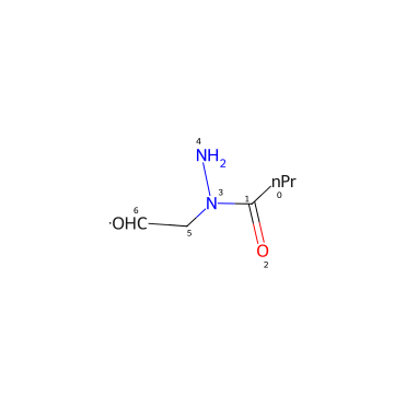 CCCC(=O)N(N)C[C]=O